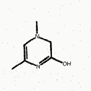 CC1=CN(C)CC(O)=N1